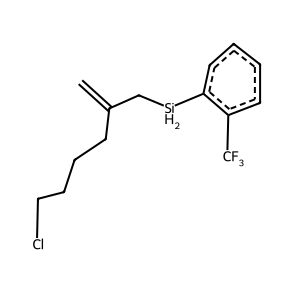 C=C(CCCCCl)C[SiH2]c1ccccc1C(F)(F)F